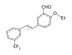 CCOc1ccc(/C=C/c2cccc(C(F)(F)F)c2)cc1C=O